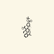 C=Cc1c(C(=C)OC)c(N2CCN(C(=O)OC(C)(C)C)C[C@@H]2C)nc(=O)n1-c1ccccc1C(C)C